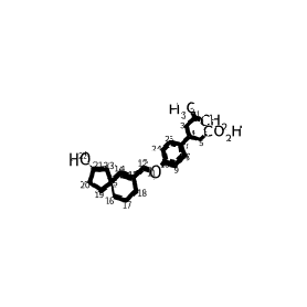 C=C(C)CC(CC(=O)O)c1ccc(OCC2=C[C@]3(CCC2)CC[C@H](O)C3)cc1